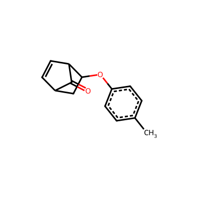 Cc1ccc(OC2CC3C=CC2C3=O)cc1